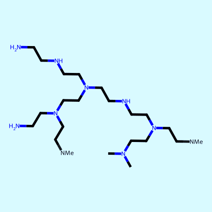 CNCCN(CCNCCN(CCNCCN)CCN(CCN)CCNC)CCN(C)C